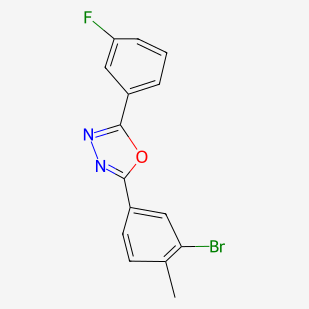 Cc1ccc(-c2nnc(-c3cccc(F)c3)o2)cc1Br